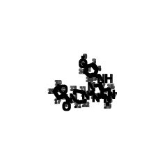 COc1ccc(Nc2nc(N3CCN(C(=O)c4ccco4)CC3)nc3c2cnn3C)cc1